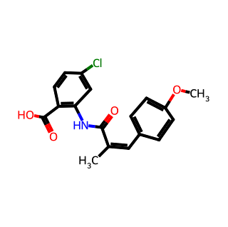 COc1ccc(C=C(C)C(=O)Nc2cc(Cl)ccc2C(=O)O)cc1